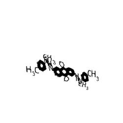 Cc1ccc(N(C)N=Nc2ccc3c(c2)C(=O)c2ccc(N=NN(C)c4ccc(C)cc4)cc2C3=O)cc1